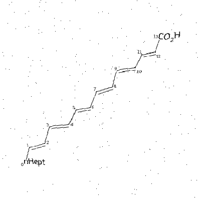 CCCCCCCC=CC=CC=CC=CC=CC=CC(=O)O